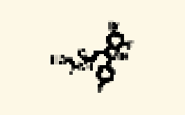 C[C@H](CO)NC(=O)C=Cc1c(-c2ccc(F)cc2)[nH]c2c(F)cc(Br)cc12